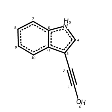 OC#Cc1c[nH]c2ccccc12